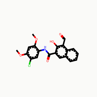 COc1cc(OC)c(NC(=O)c2cc3ccccc3c(C=O)c2O)cc1Cl